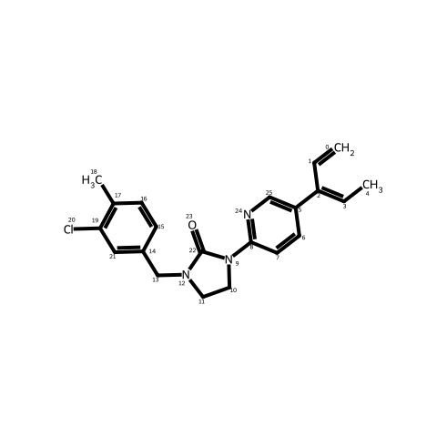 C=C/C(=C\C)c1ccc(N2CCN(Cc3ccc(C)c(Cl)c3)C2=O)nc1